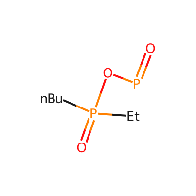 CCCCP(=O)(CC)OP=O